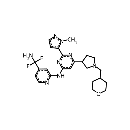 Cn1nccc1-c1nc(Nc2cc(C(N)(F)F)ccn2)cc(C2CCN(CC3CCOCC3)C2)n1